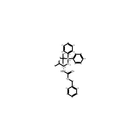 CC(C)[C@@H](NC(=O)OCc1ccccc1)O[Si](c1ccccc1)(c1ccccc1)C(C)(C)C